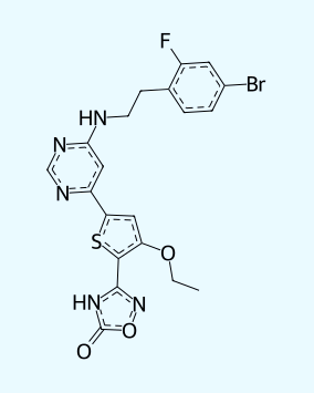 CCOc1cc(-c2cc(NCCc3ccc(Br)cc3F)ncn2)sc1-c1noc(=O)[nH]1